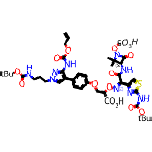 C=CCOC(=O)Nc1nn(CCCNC(=O)OC(C)(C)C)cc1-c1ccc(OCC(O/N=C(\C(=O)N[C@@H]2C(=O)N(OS(=O)(=O)O)C2(C)C)c2csc(NC(=O)OC(C)(C)C)n2)C(=O)O)cc1